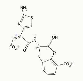 Nc1nc(/C(=C/C(=O)O)C(=O)N[C@H]2Cc3cccc(C(=O)O)c3OB2O)cs1